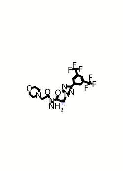 NN(C(=O)/C=C\n1cnc(-c2cc(C(F)(F)F)cc(C(F)(F)F)c2)n1)C(=O)CN1CCOCC1